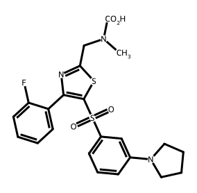 CN(Cc1nc(-c2ccccc2F)c(S(=O)(=O)c2cccc(N3CCCC3)c2)s1)C(=O)O